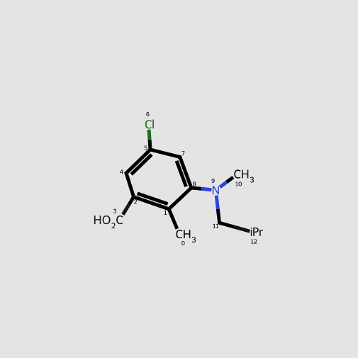 Cc1c(C(=O)O)cc(Cl)cc1N(C)CC(C)C